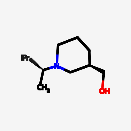 CC(C)[C@@H](C)N1CCC[C@@H](CO)C1